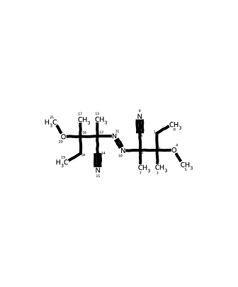 CCC(C)(OC)C(C)(C#N)/N=N/C(C)(C#N)C(C)(CC)OC